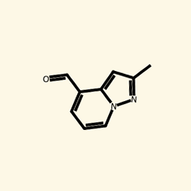 Cc1cc2c(C=O)cccn2n1